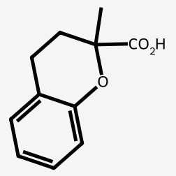 CC1(C(=O)O)CCc2ccccc2O1